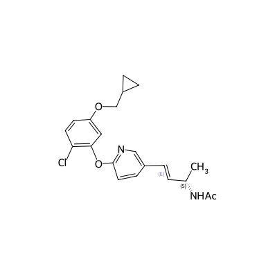 CC(=O)N[C@@H](C)/C=C/c1ccc(Oc2cc(OCC3CC3)ccc2Cl)nc1